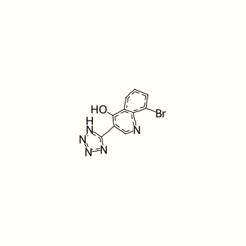 Oc1c(-c2nnn[nH]2)cnc2c(Br)cccc12